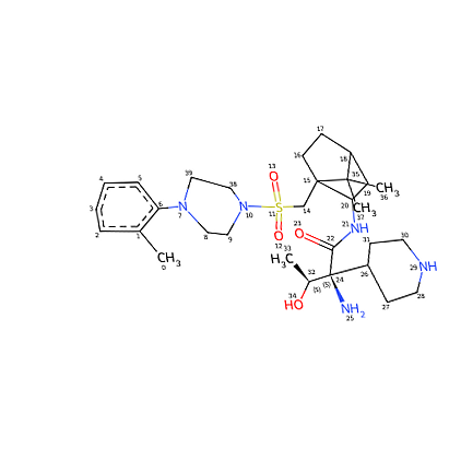 Cc1ccccc1N1CCN(S(=O)(=O)CC23CCC(CC2NC(=O)[C@](N)(C2CCNCC2)[C@H](C)O)C3(C)C)CC1